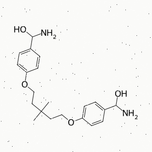 CC(C)(CCOc1ccc(C(N)O)cc1)CCOc1ccc(C(N)O)cc1